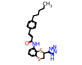 CCCCCc1ccc(C=CC(=O)Nc2cccc3c2SC(c2nnn[nH]2)CS3)cc1